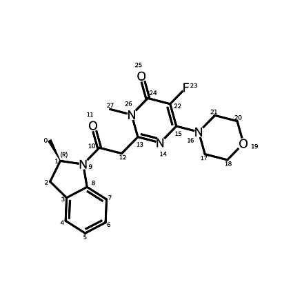 C[C@@H]1Cc2ccccc2N1C(=O)Cc1nc(N2CCOCC2)c(F)c(=O)n1C